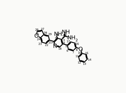 N=C(N)c1c(-c2ccc(Oc3ccccc3)cc2)cnc(-c2ccc3occc3c2)c1N